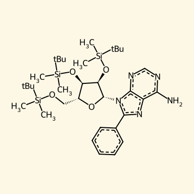 CC(C)(C)[Si](C)(C)OC[C@H]1O[C@@H](n2c(-c3ccccc3)nc3c(N)ncnc32)[C@H](O[Si](C)(C)C(C)(C)C)[C@@H]1O[Si](C)(C)C(C)(C)C